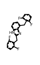 Fc1cccc(F)c1Cc1nc2c(Cc3c(F)cccc3F)cccc2[nH]1